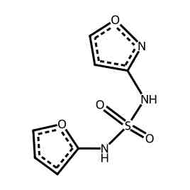 O=S(=O)(Nc1ccon1)Nc1ccco1